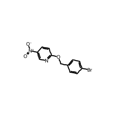 O=[N+]([O-])c1ccc(OCc2ccc(Br)cc2)nc1